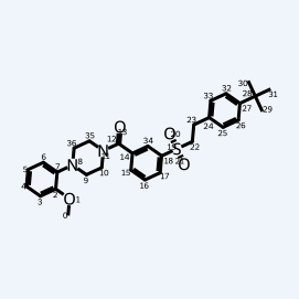 COc1ccccc1N1CCN(C(=O)c2cccc(S(=O)(=O)CCc3ccc(C(C)(C)C)cc3)c2)CC1